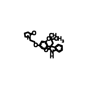 CC1(C)CC2(C(=O)Nc3ccccc32)c2ccc(OCCN3CCCC3=O)cc2O1